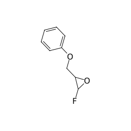 FC1OC1COc1ccccc1